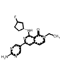 CCn1ccc2cc(-c3cnc(N)nc3)nc(N[C@@H]3CCC(F)C3)c2c1=O